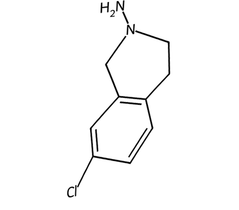 NN1CCc2ccc(Cl)cc2C1